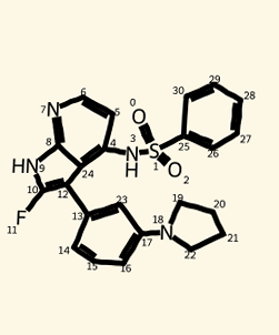 O=S(=O)(Nc1ccnc2[nH]c(F)c(-c3cccc(N4CCCC4)c3)c12)c1ccccc1